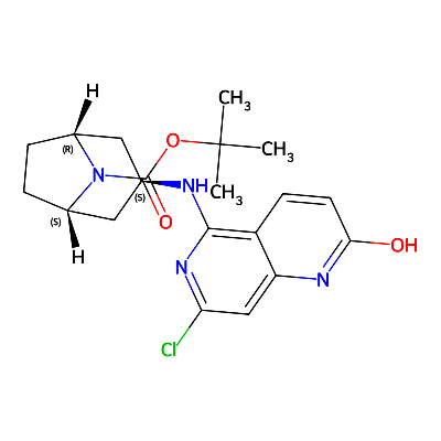 CC(C)(C)OC(=O)N1[C@@H]2CC[C@H]1C[C@H](Nc1nc(Cl)cc3nc(O)ccc13)C2